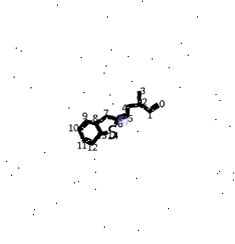 C=CC(C)C/C=C1\CC2C=CC=CC2S1